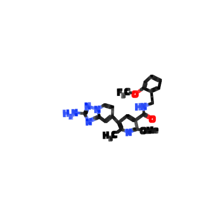 COc1nc(C)c(-c2ccn3nc(N)nc3c2)cc1C(=O)NCc1ccccc1OC(F)(F)F